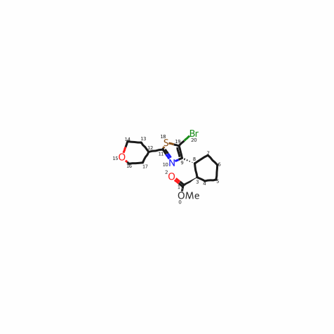 COC(=O)[C@@H]1CCCC[C@H]1c1nc(C2CCOCC2)sc1Br